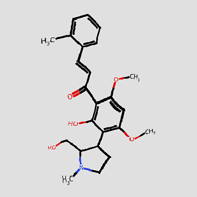 COc1cc(OC)c(C2CCN(C)C2CO)c(O)c1C(=O)C=Cc1ccccc1C